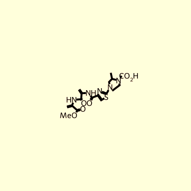 C=C(NC(=O)c1csc(N2CCN(C(=O)O)C(C)C2)n1)C(=O)NC(=C)C(=O)OC